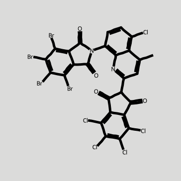 Cc1cc(C2C(=O)c3c(Cl)c(Cl)c(Cl)c(Cl)c3C2=O)nc2c(N3C(=O)c4c(Br)c(Br)c(Br)c(Br)c4C3=O)ccc(Cl)c12